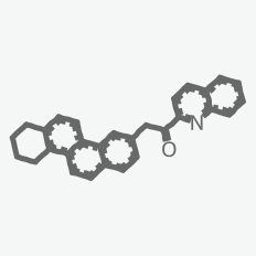 O=C(Cc1ccc2ccc3c4c(ccc3c2c1)CCCC4)c1ccc2ccccc2n1